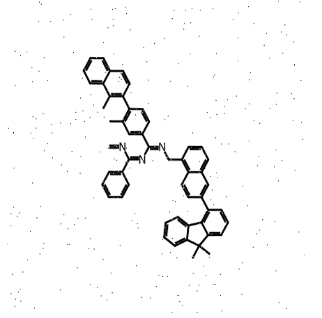 C=N/C(=N\C(=N/Cc1cccc2cc(-c3cccc4c3-c3ccccc3C4(C)C)ccc12)c1ccc(-c2ccc3ccccc3c2C)c(C)c1)c1ccccc1